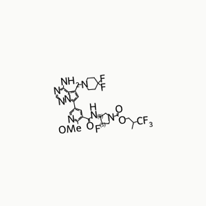 COc1ncc(-c2cc(CN3CCC(F)(F)CC3)c3c(N)ncnn23)cc1C(=O)N[C@@H]1CN(C(=O)OCC(C)C(F)(F)F)C[C@@H]1F